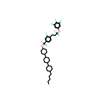 CCCCCC1CCC(C2CCC(C3CCC(OC(F)(F)c4ccc(CCC(F)(F)Oc5cc(F)c(F)c(F)c5)c(F)c4)CC3)CC2)CC1